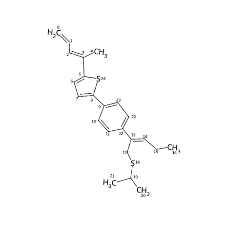 C=C/C=C(\C)c1ccc(-c2ccc(/C(=C/CC)CSC(C)C)cc2)s1